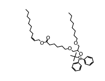 CCCCCCCC/C=C\COC(=O)CCCCCOCC(COCCCCCCCC)O[Si](c1ccccc1)(c1ccccc1)C(C)(C)C